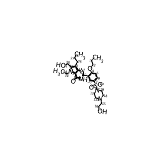 CCCOc1ccc(S(=O)(=O)N2CCN(CCO)CC2)cc1-c1nc2c(CCC)c(CO)n(CC)c2c(=O)[nH]1